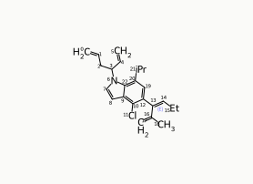 C=CCC(C=C)n1ccc2c(Cl)c(/C(=C/CC)C(=C)C)cc(C(C)C)c21